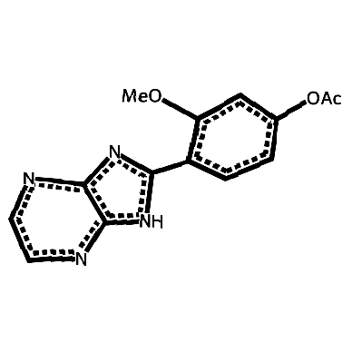 COc1cc(OC(C)=O)ccc1-c1nc2nccnc2[nH]1